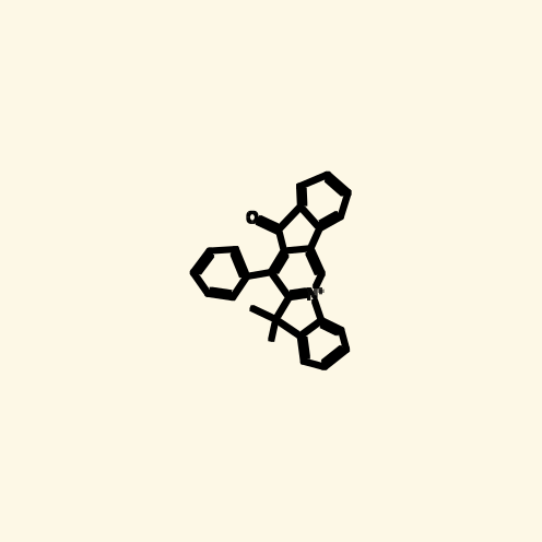 CC1(C)c2ccccc2-[n+]2cc3c(c(-c4ccccc4)c21)C(=O)c1ccccc1-3